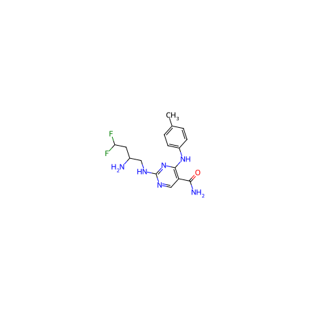 Cc1ccc(Nc2nc(NCC(N)CC(F)F)ncc2C(N)=O)cc1